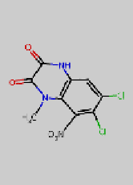 Cn1c(=O)c(=O)[nH]c2cc(Cl)c(Cl)c([N+](=O)[O-])c21